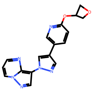 c1cnc2c(-n3cc(-c4ccc(OC5COC5)nc4)cn3)cnn2c1